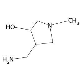 CN1CC(O)C(CN)C1